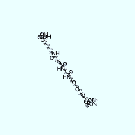 CC(C)(C)OP(=O)(O)OCCOCCOCCOCCNC(=O)CCNC(=O)CSCCC(=O)NCCCCCCOP(=O)(O)O